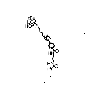 CC(C)C(=O)NCCCNC(=O)c1ccc(-c2cn(CCCCOCC(C)(CO)CC(C)(C)C)nn2)cc1